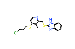 Cc1c(SCCCCl)ccnc1CSc1nc2ccccc2[nH]1